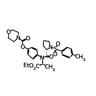 CCOC(=O)[C@H](C)N(C(=O)[C@@H]1CCCN1S(=O)(=O)c1ccc(C)cc1)c1ccc(OC(=O)N2CCOCC2)cc1